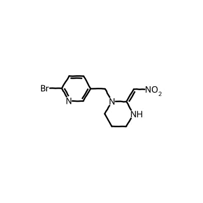 O=[N+]([O-])C=C1NCCCN1Cc1ccc(Br)nc1